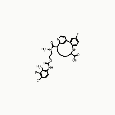 Cc1c(NC(=O)OCCN(C)C(=O)C2CCCCC(C(=O)O)Nc3ccc(F)cc3-c3ccnc2c3)ccc(Cl)c1F